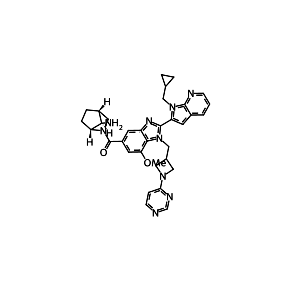 COc1cc(C(=O)N2C[C@H]3CC[C@@H]2[C@@H]3N)cc2nc(-c3cc4cccnc4n3CC3CC3)n(CC3CN(c4ccncn4)C3)c12